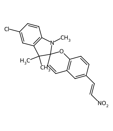 CN1c2ccc(Cl)cc2C(C)(C)C12C=Cc1cc(C=C[N+](=O)[O-])ccc1O2